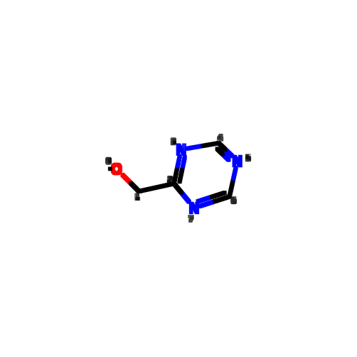 [O]Cc1ncncn1